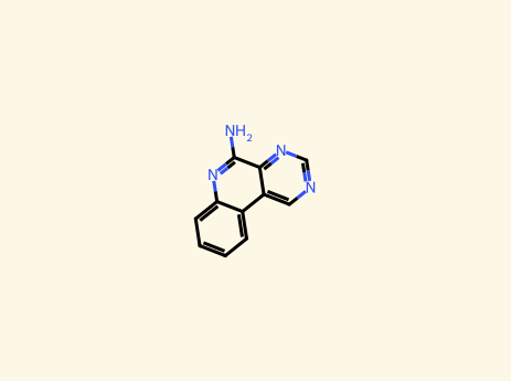 Nc1nc2ccccc2c2cncnc12